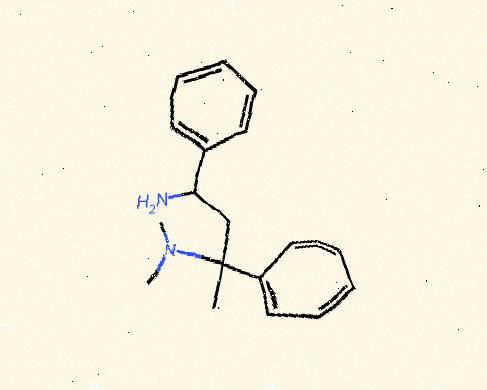 [CH2]C(CC(N)c1ccccc1)(c1ccccc1)N(C)C